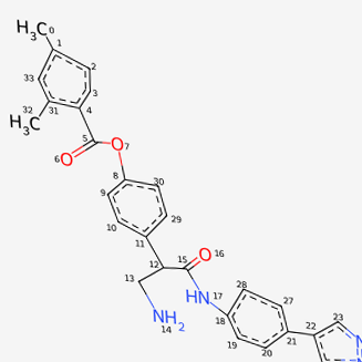 Cc1ccc(C(=O)Oc2ccc(C(CN)C(=O)Nc3ccc(-c4cn[nH]c4)cc3)cc2)c(C)c1